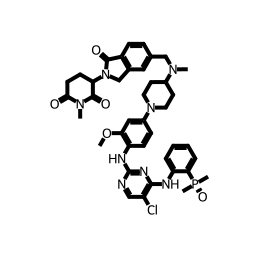 COc1cc(N2CCC(N(C)Cc3ccc4c(c3)CN(C3CCC(=O)N(C)C3=O)C4=O)CC2)ccc1Nc1ncc(Cl)c(Nc2ccccc2P(C)(C)=O)n1